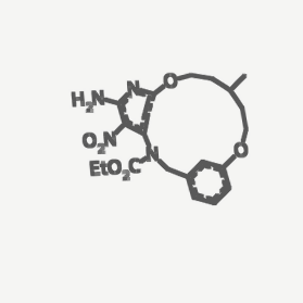 CCOC(=O)N1Cc2cccc(c2)OCCC(C)CCOc2cc1c([N+](=O)[O-])c(N)n2